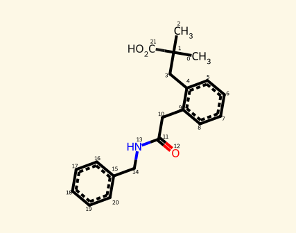 CC(C)(Cc1ccccc1CC(=O)NCc1ccccc1)C(=O)O